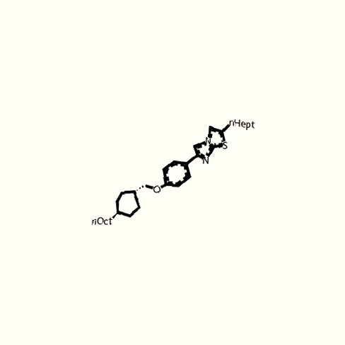 CCCCCCCC[C@H]1CC[C@H](COc2ccc(-c3cn4cc(CCCCCCC)sc4n3)cc2)CC1